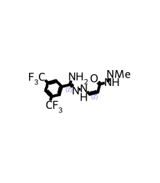 CNNC(=O)/C=C\N/N=C(\N)c1cc(C(F)(F)F)cc(C(F)(F)F)c1